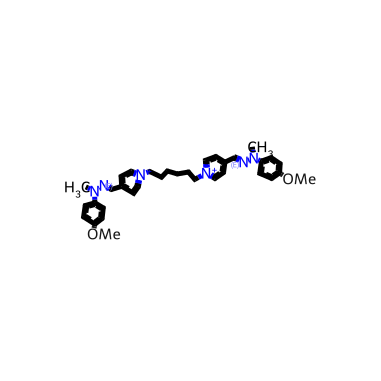 COc1ccc(N(C)/N=C/c2cc[n+](CCCCCC[n+]3ccc(/C=N/N(C)c4ccc(OC)cc4)cc3)cc2)cc1